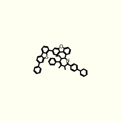 CCC1C(c2ccccc2)=C(C)C(C)C(c2ccc(C3C=CC=CC3)cc2)=NC1c1cccc2oc3cc(-c4cccc5c4sc4cc(-c6ccccc6)ccc45)ccc3c12